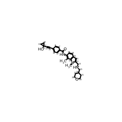 Cc1c(NC(=O)c2ccc(C#CC3(O)CC3)cc2)ccc2cc(CNCC3CCOCC3)n(C)c12